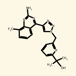 CC(C)(O)c1cccc(Cn2cc(-c3nc(N)nc4c(C(F)(F)F)cccc34)nn2)n1